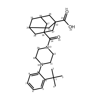 CC(C)(C)c1ccccc1N1CCN(C(=O)C23CC4CC(CC(C(=O)O)(C4)C2)C3)CC1